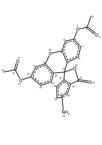 CC(=O)Oc1ccc2c(c1)Oc1cc(OC(C)=O)ccc1C21OC(=O)c2cc(N)ccc21